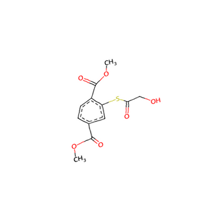 COC(=O)c1ccc(C(=O)OC)c(SC(=O)CO)c1